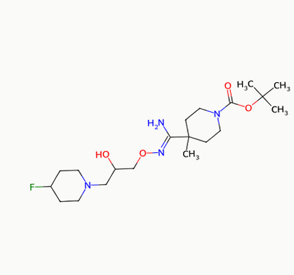 CC(C)(C)OC(=O)N1CCC(C)(C(N)=NOCC(O)CN2CCC(F)CC2)CC1